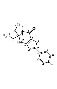 CCC1(CC)NC(=O)c2sc(-c3ccncc3)cc2N1